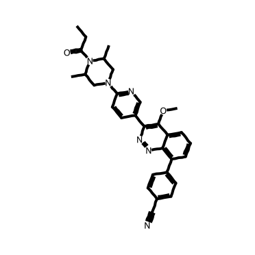 CCC(=O)N1C(C)CN(c2ccc(-c3nnc4c(-c5ccc(C#N)cc5)cccc4c3OC)cn2)CC1C